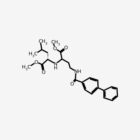 COC(=O)C(CCNC(=O)c1ccc(-c2ccccc2)cc1)N[C@@H](CC(C)C)C(=O)OC